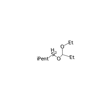 CCCC(C)[SiH2]OC(CC)OCC